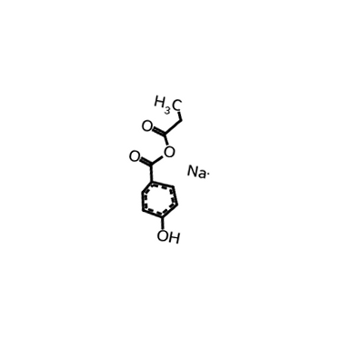 CCC(=O)OC(=O)c1ccc(O)cc1.[Na]